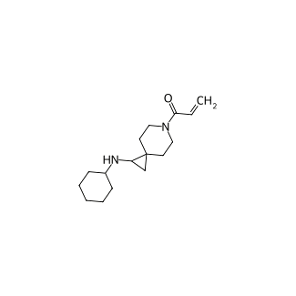 C=CC(=O)N1CCC2(CC1)CC2NC1CCCCC1